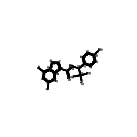 Cc1cc(C)n2ncc(C(=O)NC(c3ccc(F)cc3)C(F)(F)F)c2n1